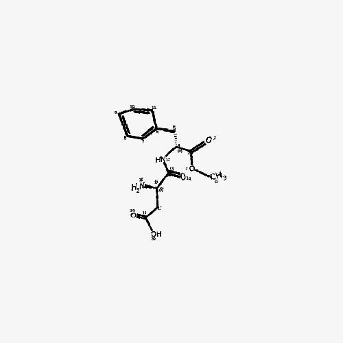 COC(=O)[C@@H](Cc1ccccc1)NC(=O)[C@H](N)CC(=O)O